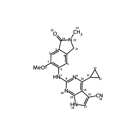 COc1cc2c(cc1Nc1nc(C3CC3)c3c(C#N)c[nH]c3n1)CN(C)C2=O